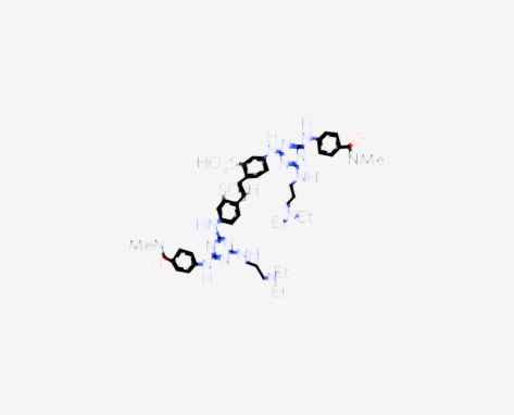 CCN(CC)CCCNc1nc(Nc2ccc(C(=O)NC)cc2)nc(Nc2ccc(/C=C/c3ccc(Nc4nc(NCCCN(CC)CC)nc(Nc5ccc(C(=O)NC)cc5)n4)cc3S(=O)(=O)O)c(S(=O)(=O)O)c2)n1